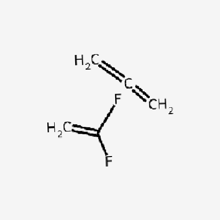 C=C(F)F.C=C=C